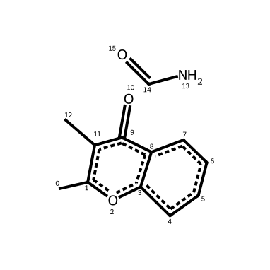 Cc1oc2ccccc2c(=O)c1C.NC=O